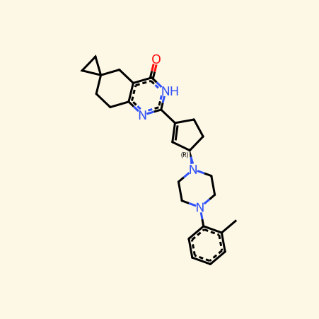 Cc1ccccc1N1CCN([C@H]2C=C(c3nc4c(c(=O)[nH]3)CC3(CC4)CC3)CC2)CC1